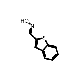 ON=Cc1cc2ccccc2s1